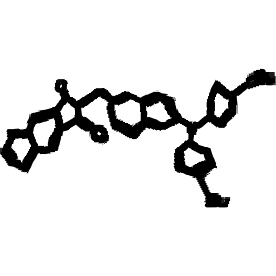 CC(C)(C)c1ccc(N(c2ccc(C(C)(C)C)cc2)c2ccc3cc(C=C4C(=O)c5cc6ccccc6cc5C4=O)ccc3c2)cc1